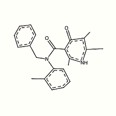 Cc1ccccc1N(Cc1ccccc1)C(=O)c1c(C)[nH]c(C)c(C)c1=O